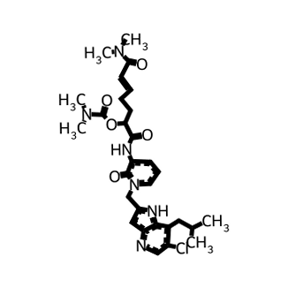 CC(C)Cc1c(Cl)cnc2cc(Cn3cccc(NC(=O)C(CCC=CC(=O)N(C)C)OC(=O)N(C)C)c3=O)[nH]c12